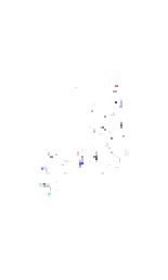 O=C1CC2(CCOCC2)Oc2c(ccc(-c3cc(NC(=O)c4ccnc(C(F)(F)F)c4)ccc3F)c2F)N1